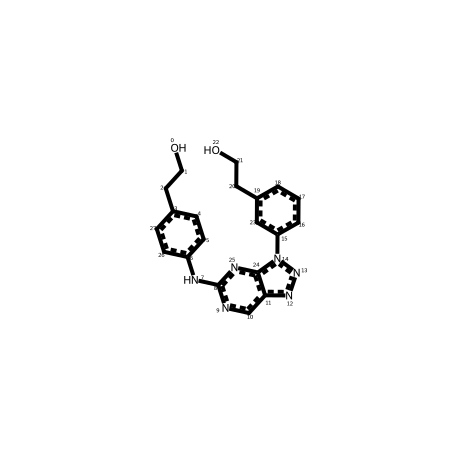 OCCc1ccc(Nc2ncc3nnn(-c4cccc(CCO)c4)c3n2)cc1